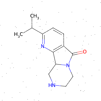 CC(C)c1ccc2c(n1)C1CNCCN1C2=O